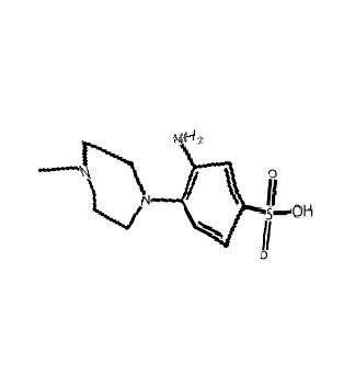 CN1CCN(c2ccc(S(=O)(=O)O)cc2N)CC1